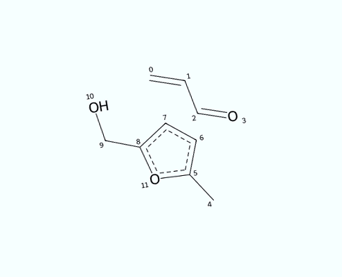 C=CC=O.Cc1ccc(CO)o1